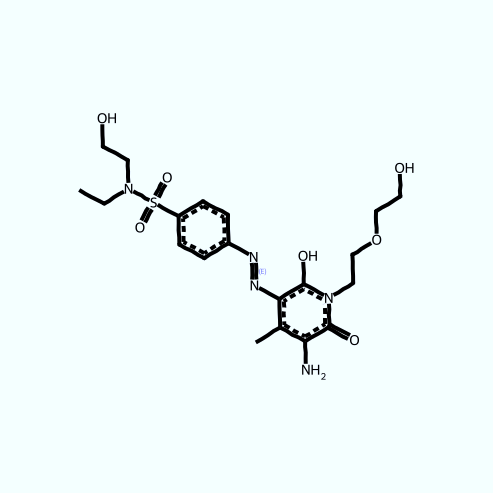 CCN(CCO)S(=O)(=O)c1ccc(/N=N/c2c(C)c(N)c(=O)n(CCOCCO)c2O)cc1